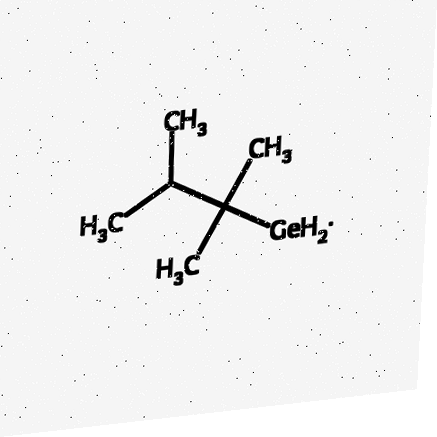 CC(C)[C](C)(C)[GeH2]